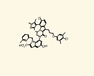 Cc1cccc(Cn2c(C(=O)O)cc3cc(O)cc(N4CC(C)n5c(c(CCCOc6cc(C)c(Cl)c(C)c6)c6ccc(Cl)c(-c7c(C)nn(C)c7C)c65)C4=O)c32)n1